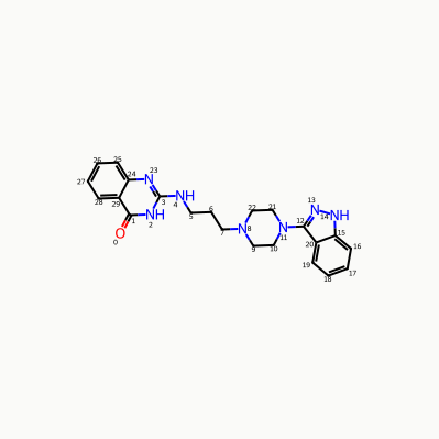 O=c1[nH]c(NCCCN2CCN(c3n[nH]c4ccccc34)CC2)nc2ccccc12